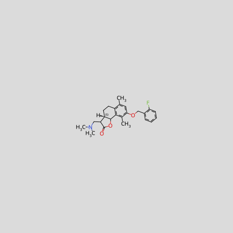 Cc1cc(OCc2ccccc2F)c(C)c2c1CC[C@H]1C(CN(C)C)C(=O)OC21